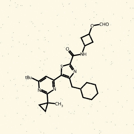 CC(C)(C)c1cc(-c2sc(C(=O)NC3CC(OC=O)C3)nc2CC2CCCCC2)nc(C2(C)CC2)n1